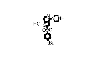 CC(C)(C)c1ccc(S(=O)(=O)c2cc3c(N4CCNCC4)nccc3s2)cc1.Cl